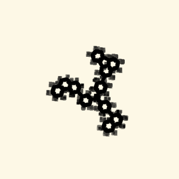 c1cc(-c2ccc3ccc4ccccc4c3c2)cc(N(c2ccc(-c3cc4c5c(cccc5c3)-c3ccccc3-4)cc2)c2ccc(-c3cccc4ccccc34)cc2)c1